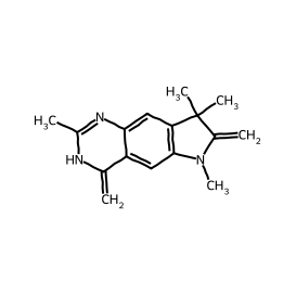 C=C1NC(C)=Nc2cc3c(cc21)N(C)C(=C)C3(C)C